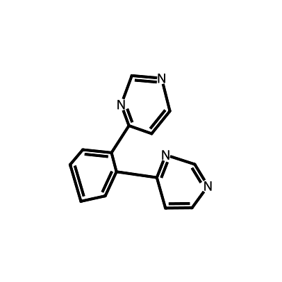 c1ccc(-c2ccncn2)c(-c2ccncn2)c1